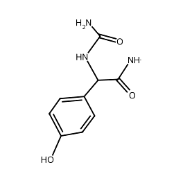 [NH]C(=O)C(NC(N)=O)c1ccc(O)cc1